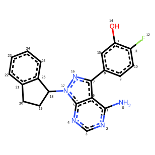 Nc1ncnc2c1c(-c1ccc(F)c(O)c1)nn2C1CCc2ccccc21